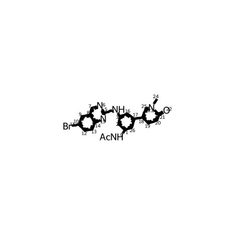 CC(=O)Nc1cc(Nc2ncc3cc(Br)ccc3n2)cc(-c2ccc(=O)n(C)c2)c1